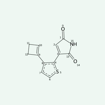 O=C1C=C(c2sccc2C2=CCC2)C(=O)N1